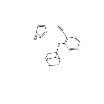 C#Cc1ccnnc1OC1CN2CCC1CC2.c1cc2nc-2c1